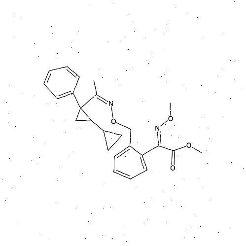 CON=C(C(=O)OC)c1ccccc1CON=C(C)C1(c2ccccc2)CC1C1CC1